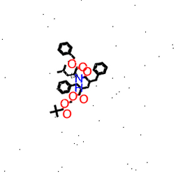 CC(C)C[C@H](NC(=O)C(Cc1ccccc1)CC(Cc1ccccc1)C(=O)OCOC(=O)C(C)(C)C)C(=O)OCc1ccccc1